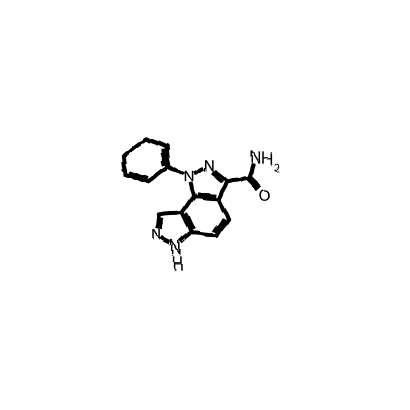 NC(=O)c1nn(C2=CCCC=C2)c2c1ccc1[nH]ncc12